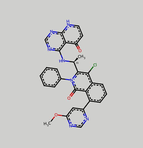 COc1cc(-c2cccc3c(Cl)c([C@H](C)Nc4ncnc5[nH]ccc(=O)c45)n(-c4ccccc4)c(=O)c23)ncn1